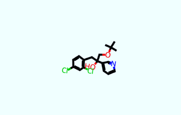 CC(C)(C)OCC(O)(Cc1ccc(Cl)cc1Cl)c1cccnc1